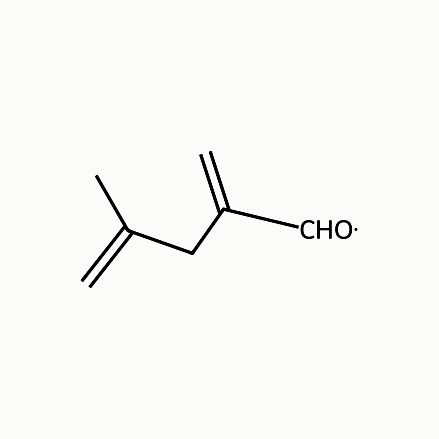 C=C(C)CC(=C)[C]=O